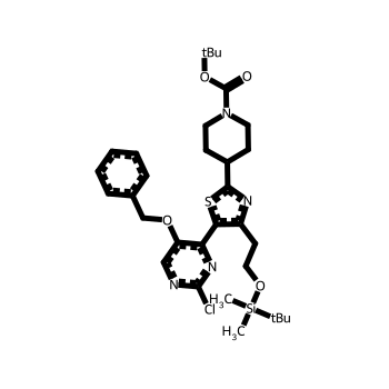 CC(C)(C)OC(=O)N1CCC(c2nc(CCO[Si](C)(C)C(C)(C)C)c(-c3nc(Cl)ncc3OCc3ccccc3)s2)CC1